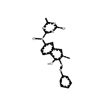 Cc1nc(Cl)nc(N(Cl)c2ccc3c(O)c(N=Nc4ccccc4)c(C)cc3c2)n1